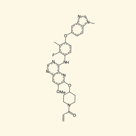 C=CC(=O)N1CCC(Oc2nc3c(Nc4ccc(Oc5ccc6c(c5)ncn6C)c(C)c4F)ncnc3cc2OC)CC1